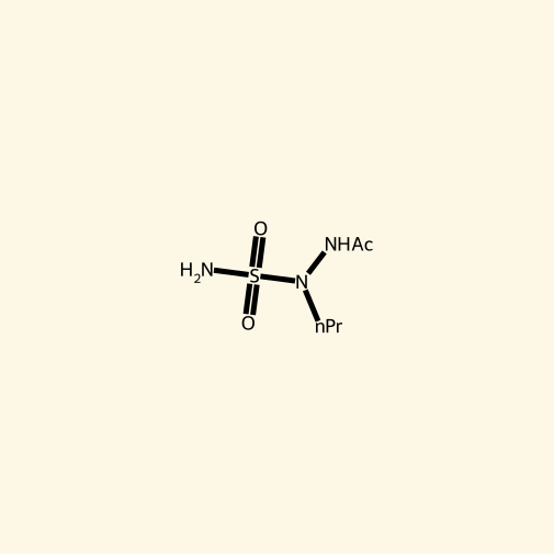 CCCN(NC(C)=O)S(N)(=O)=O